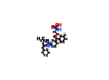 CNC[C@H](CC1CCCCC1)NC(=O)N1CCC[C@@H](C(OCCNC(=O)O)c2cccc(F)c2)C1